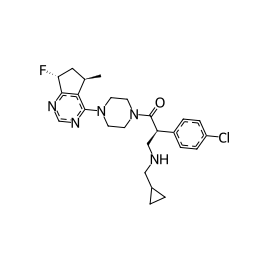 C[C@@H]1C[C@@H](F)c2ncnc(N3CCN(C(=O)[C@H](CNCC4CC4)c4ccc(Cl)cc4)CC3)c21